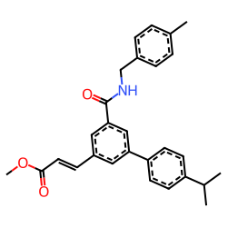 COC(=O)/C=C/c1cc(C(=O)NCc2ccc(C)cc2)cc(-c2ccc(C(C)C)cc2)c1